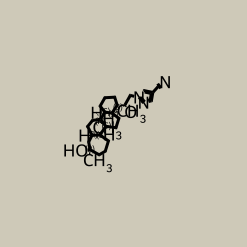 C[C@@]1(O)CCC[C@@]2(C)[C@H](CC[C@@H]3[C@@H]2CC[C@]2(C)[C@@H](C(=O)Cn4cc(C#N)cn4)CCC[C@@H]32)C1